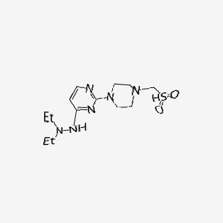 CCN(CC)Nc1ccnc(N2CCN(C[SH](=O)=O)CC2)n1